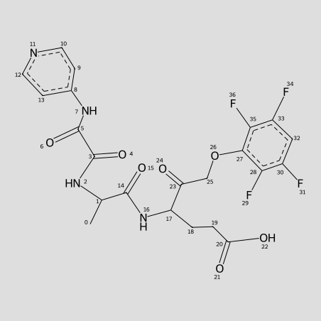 CC(NC(=O)C(=O)Nc1ccncc1)C(=O)NC(CCC(=O)O)C(=O)COc1c(F)c(F)cc(F)c1F